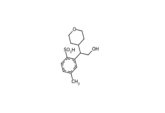 Cc1ccc(S(=O)(=O)O)c(C(CO)C2CCOCC2)c1